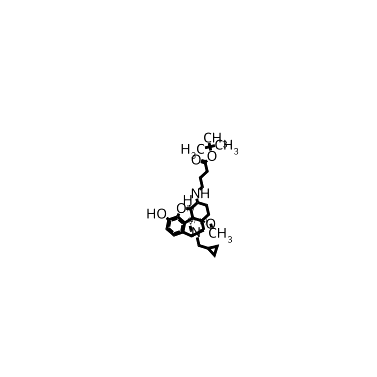 CO[C@@]12CCC(NCCCC(=O)OC(C)(C)C)[C@@H]3Oc4c(O)ccc5c4[C@@]31CCN(CC1CC1)C2C5